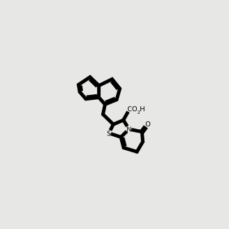 O=C(O)C1C(Cc2cccc3ccccc23)SC2=CCCC(=O)N21